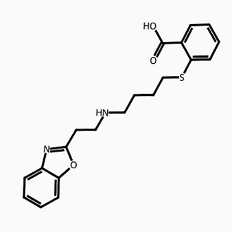 O=C(O)c1ccccc1SCCCCNCCc1nc2ccccc2o1